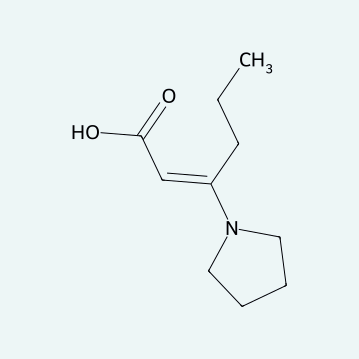 CCCC(=CC(=O)O)N1CCCC1